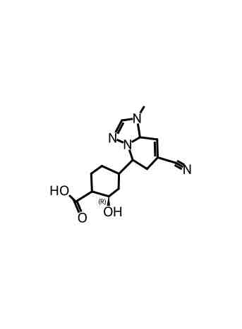 CN1C=NN2C(C3CCC(C(=O)O)[C@H](O)C3)CC(C#N)=CC12